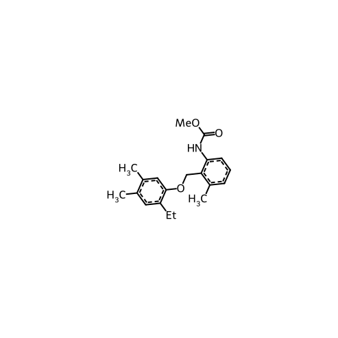 CCc1cc(C)c(C)cc1OCc1c(C)cccc1NC(=O)OC